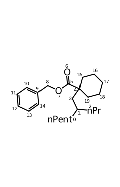 CCCCCC(CCC)CC1(C(=O)OCc2ccccc2)CCCCC1